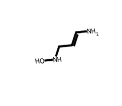 NC=CCNO